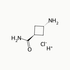 NC(=O)[C@H]1C[C@H](N)C1.[Cl-].[H+]